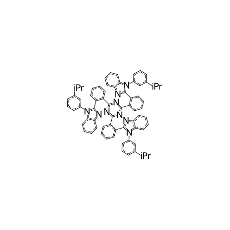 CC(C)c1cccc(-n2c(-c3ccccc3-c3nc(-c4ccccc4-c4nc5ccccc5n4-c4cccc(C(C)C)c4)nc(-c4ccccc4-c4nc5ccccc5n4-c4cccc(C(C)C)c4)n3)nc3ccccc32)c1